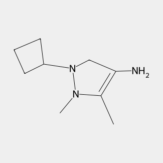 CC1=C(N)CN(C2CCC2)N1C